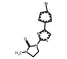 CN1CCN(c2nc(-c3ccc(Br)cc3)cs2)C1=O